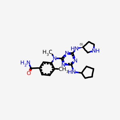 Cc1ccc(C(N)=O)cc1N(C)c1nc(NC2CCCC2)nc(N[C@H]2CCNC2)n1